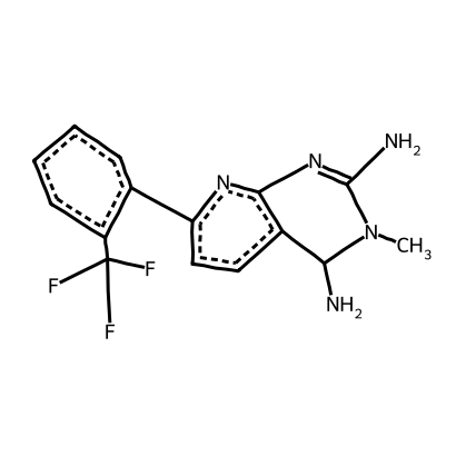 CN1C(N)=Nc2nc(-c3ccccc3C(F)(F)F)ccc2C1N